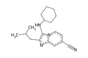 CC(C)Cc1nc2cc(C#N)ccn2c1NC1CCCCC1